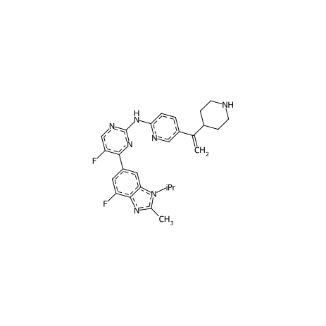 C=C(c1ccc(Nc2ncc(F)c(-c3cc(F)c4nc(C)n(C(C)C)c4c3)n2)nc1)C1CCNCC1